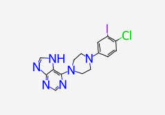 Clc1ccc(N2CCN(c3ncnc4nc[nH]c34)CC2)cc1I